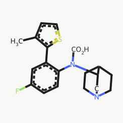 Cc1ccsc1-c1cc(F)ccc1N(C(=O)O)C1CN2CCC1CC2